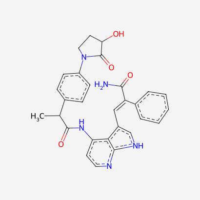 CC(C(=O)Nc1ccnc2[nH]cc(/C=C(/C(N)=O)c3ccccc3)c12)c1ccc(N2CCC(O)C2=O)cc1